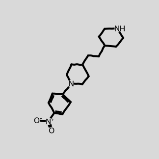 O=[N+]([O-])c1ccc(N2CCC(CCC3CCNCC3)CC2)cc1